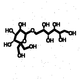 OC[C@@H](O)[C@@H](O)[C@H](O)[C@@H](O)COC1OC(CO)(CO)[C@H](O)[C@H](O)[C@H]1O